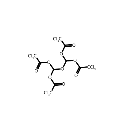 O=C(OC(OC(=O)C(Cl)(Cl)Cl)OC(OC(=O)C(Cl)(Cl)Cl)OC(=O)C(Cl)(Cl)Cl)C(Cl)(Cl)Cl